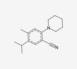 Cc1cc(N2CCCCC2)c(C#N)cc1C(C)C